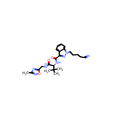 Cc1noc(CNC(=O)[C@@H](NC(=O)c2nn(CCCCC#N)c3ccccc23)C(C)(C)C)n1